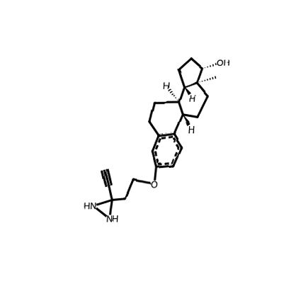 C#CC1(CCOc2ccc3c(c2)CC[C@@H]2[C@@H]3CC[C@]3(C)[C@@H](O)CC[C@@H]23)NN1